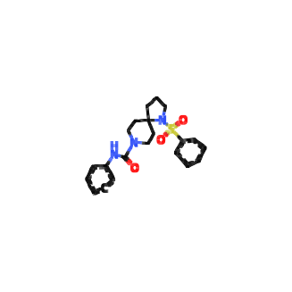 O=C(Nc1ccccc1)N1CCC2(CCCN2S(=O)(=O)c2ccccc2)CC1